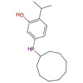 CC(C)c1ccc(PC2CCCCCCCC2)cc1O